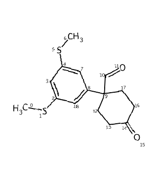 CSc1cc(SC)cc(C2(C=O)CCC(=O)CC2)c1